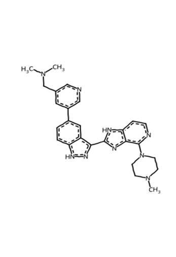 CN(C)Cc1cncc(-c2ccc3[nH]nc(-c4nc5c(N6CCN(C)CC6)nccc5[nH]4)c3c2)c1